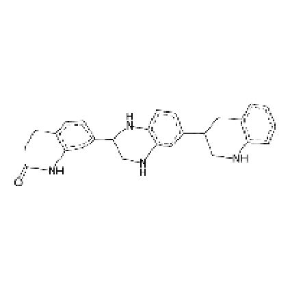 O=C1CCc2ccc(C3CNc4cc(C5CNc6ccccc6C5)ccc4N3)cc2N1